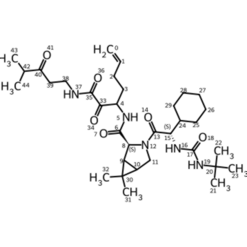 C=CCCC(NC(=O)[C@@H]1C2C(CN1C(=O)[C@@H](NC(=O)NC(C)(C)C)C1CCCCC1)C2(C)C)C(=O)C(=O)NCCC(=O)C(C)C